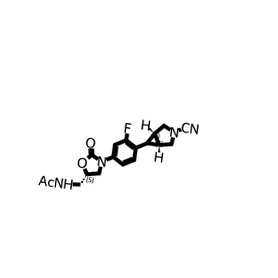 CC(=O)NC[C@H]1CN(c2ccc(C3[C@H]4CN(C#N)C[C@@H]34)c(F)c2)C(=O)O1